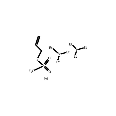 C=CCOS(=O)(=O)C(F)(F)F.CCP(CC)CC.CCP(CC)CC.[Pd]